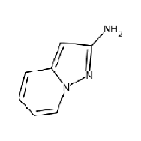 Nc1cc2ccccn2n1